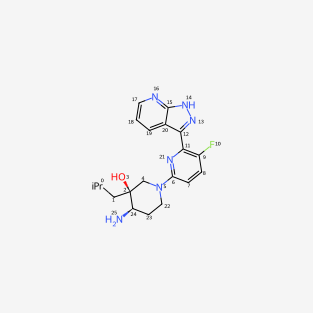 CC(C)C[C@]1(O)CN(c2ccc(F)c(-c3n[nH]c4ncccc34)n2)CC[C@H]1N